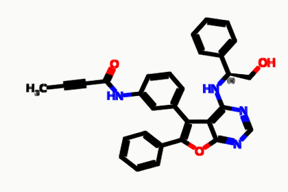 CC#CC(=O)Nc1cccc(-c2c(-c3ccccc3)oc3ncnc(N[C@H](CO)c4ccccc4)c23)c1